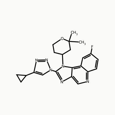 CC1(C)CC(n2c(-n3cc(C4CC4)nn3)nc3cnc4ccc(F)cc4c32)CCO1